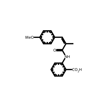 COc1ccc(C=C(C)C(=O)Nc2ccccc2C(=O)O)cc1